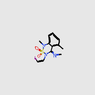 C/N=C1\c2c(C)cccc2N(C)S(=O)(=O)N1/C=C\I